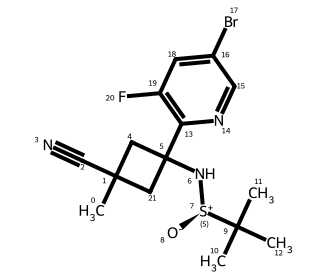 CC1(C#N)CC(N[S@+]([O-])C(C)(C)C)(c2ncc(Br)cc2F)C1